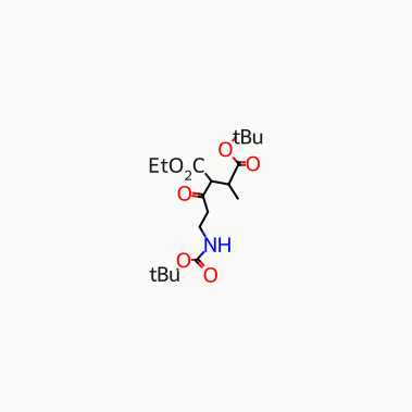 CCOC(=O)C(C(=O)CCNC(=O)OC(C)(C)C)C(C)C(=O)OC(C)(C)C